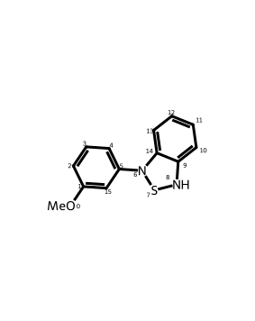 COc1cccc(N2SNc3ccccc32)c1